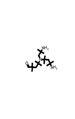 CC(C)(N)CN(C(C)(C)CC(C)(C)N)C(C)(C)CC(C)(C)C=O